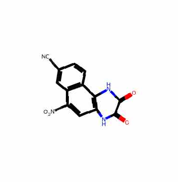 N#Cc1ccc2c(c1)c([N+](=O)[O-])cc1[nH]c(=O)c(=O)[nH]c12